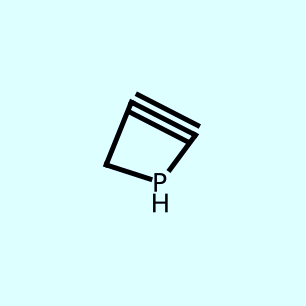 C1#CPC1